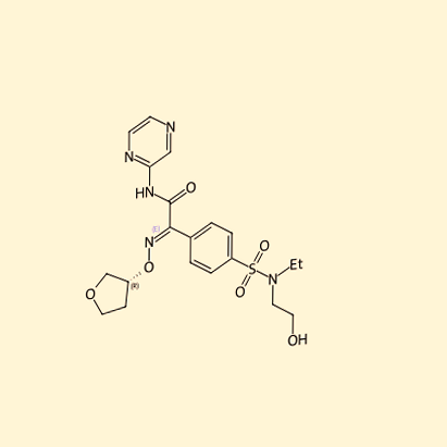 CCN(CCO)S(=O)(=O)c1ccc(/C(=N\O[C@@H]2CCOC2)C(=O)Nc2cnccn2)cc1